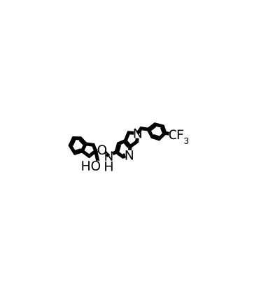 OCC1(ONc2cnc3c(c2)CN(Cc2ccc(C(F)(F)F)cc2)C3)Cc2ccccc2C1